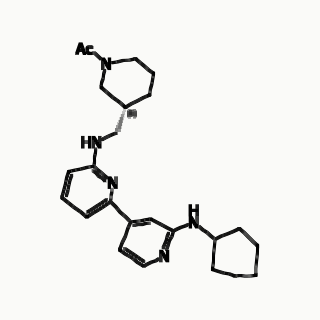 CC(=O)N1CCC[C@H](CNc2cccc(-c3ccnc(NC4CCCCC4)c3)n2)C1